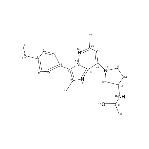 CSc1ccc(-c2c(C)nc3c(N4CCC(NC(C)=O)C4)cc(C)nn23)cc1